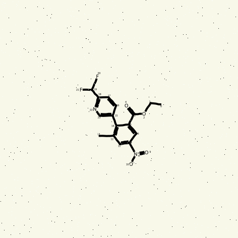 CCOC(=O)c1cc([N+](=O)[O-])cc(C)c1-c1ccc(C(F)F)nc1